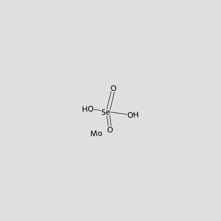 O=[Se](=O)(O)O.[Mo]